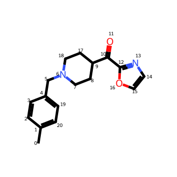 Cc1ccc(CN2CCC(C(=O)c3ncco3)CC2)cc1